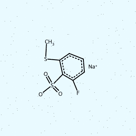 CSc1cccc(F)c1S(=O)(=O)[O-].[Na+]